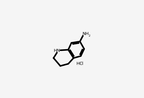 Cl.Nc1ccc2c(c1)NCCC2